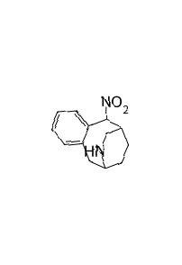 O=[N+]([O-])C1c2ccccc2CC2CCC1CN2